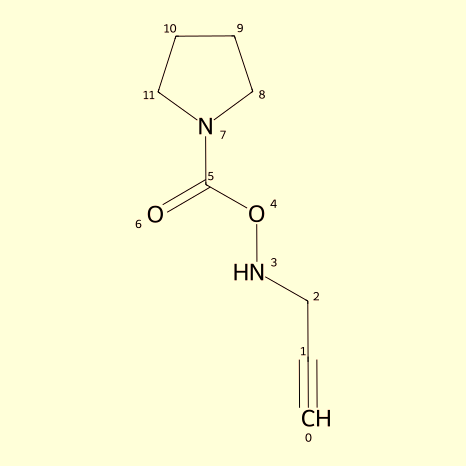 C#CCNOC(=O)N1CCCC1